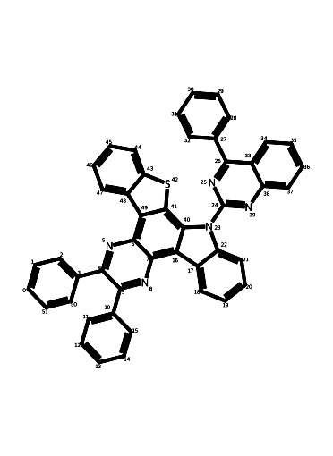 c1ccc(-c2nc3c(nc2-c2ccccc2)c2c4ccccc4n(-c4nc(-c5ccccc5)c5ccccc5n4)c2c2sc4ccccc4c32)cc1